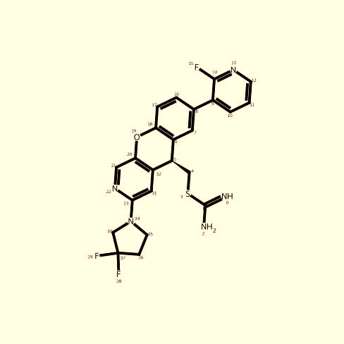 N=C(N)SC[C@@H]1c2cc(-c3cccnc3F)ccc2Oc2cnc(N3CCC(F)(F)C3)cc21